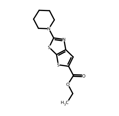 CCOC(=O)c1cc2nc(N3CCCCC3)sc2s1